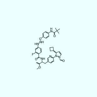 C=C(OC)C(Cc1ccc(N2C(=C3CCC3)C=CN2C=O)nc1)NC(=O)c1ccc(NNOc2ccc(NC(=O)C(C)(C)C)cc2)cc1F